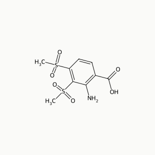 CS(=O)(=O)c1ccc(C(=O)O)c(N)c1S(C)(=O)=O